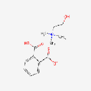 C[N+](C)(C)CCO.O=C([O-])c1ccccc1C(=O)O